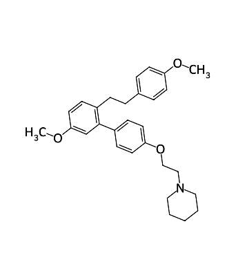 COc1ccc(CCc2ccc(OC)cc2-c2ccc(OCCN3CCCCC3)cc2)cc1